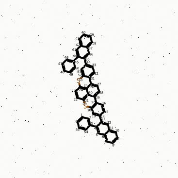 c1ccc(-c2cc3ccccc3cc2-c2ccc3c(c2)Sc2ccc4c5c(ccc-3c25)-c2ccc(-c3cc5ccccc5cc3-c3ccccc3)cc2S4)cc1